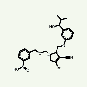 CC(C)C(O)c1cccc(OC[C@H]2C(C#N)=C(Br)C[C@@H]2COCc2cccc(S(=O)O)c2)c1